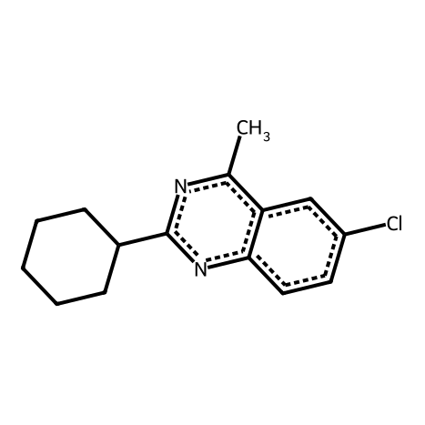 Cc1nc(C2CCCCC2)nc2ccc(Cl)cc12